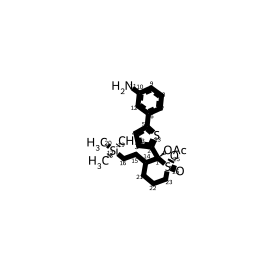 CC(=O)O[C@@]1(c2ccc(-c3cccc(N)c3)s2)C(CC[Si](C)(C)C)CCCS1(=O)=O